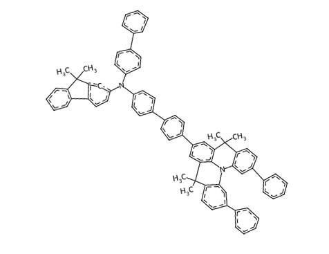 CC1(C)c2ccccc2-c2ccc(N(c3ccc(-c4ccccc4)cc3)c3ccc(-c4ccc(-c5cc6c7c(c5)C(C)(C)c5ccc(-c8ccccc8)cc5N7c5cc(-c7ccccc7)ccc5C6(C)C)cc4)cc3)cc21